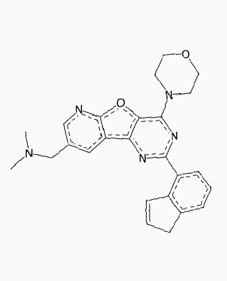 CN(C)Cc1cnc2oc3c(N4CCOCC4)nc(-c4cccc5c4C=CC5)nc3c2c1